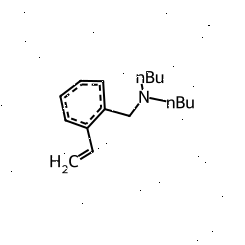 C=Cc1ccccc1CN(CCCC)CCCC